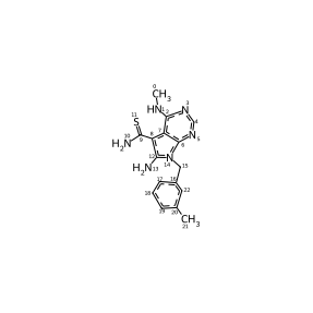 CNc1ncnc2c1c(C(N)=S)c(N)n2Cc1cccc(C)c1